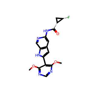 COc1ncnc(OC)c1-c1cc2cc(NC(=O)[C@@H]3C[C@@H]3F)ncc2[nH]1